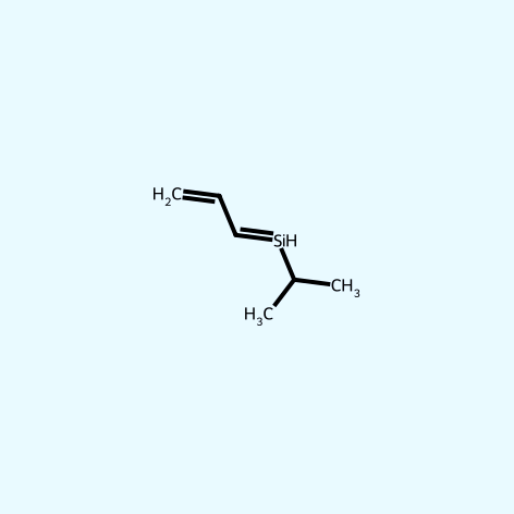 C=CC=[SiH]C(C)C